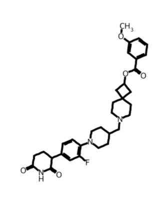 COc1cccc(C(=O)OC2CC3(CCN(CC4CCN(c5ccc(C6CCC(=O)NC6=O)cc5F)CC4)CC3)C2)c1